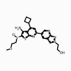 COCC[S+]([O-])c1sc2nc(-c3cnc4nn(CCO)cc4c3)cc(C3CCC3)c2c1N